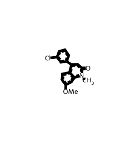 COc1ccc2c(-c3cccc(Cl)c3)cc(=O)n(C)c2c1